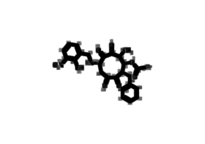 CC(C)C(=O)O[C@@H]1[C@H](C)C(=O)C(=O)[C@@H](NCc2cccc([N+](=O)[O-])c2O)CC(=O)C(=O)[C@@H]1Cc1ccccc1